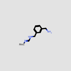 CSN=CNCc1cccc(CN)c1